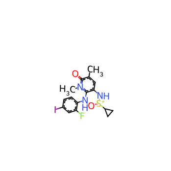 Cc1cc(N[S+]([O-])C2CC2)c(Nc2ccc(I)cc2F)n(C)c1=O